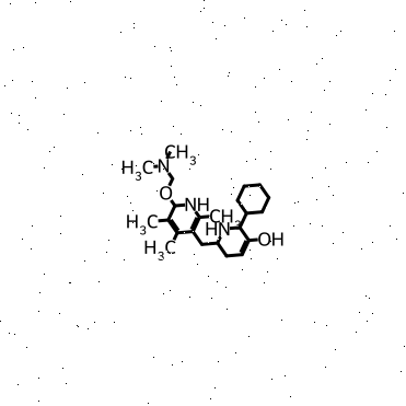 CC1=C(CC2CC=C(O)C(C3CCCCC3)N2)C(C)=C(C)C(OCN(C)C)N1